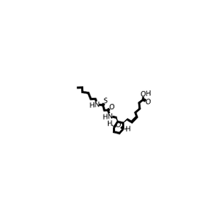 CCCCCCNC(=S)CC(=O)NC[C@H]1[C@@H](C/C=C\CCCC(=O)O)[C@H]2CC[C@@H]1O2